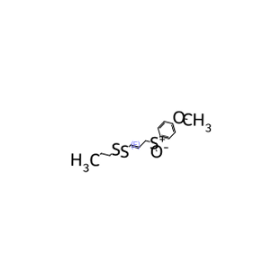 CCCSS/C=C/C[S+]([O-])c1ccc(OC)cc1